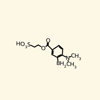 Bc1cc(C(=O)OCCS(=O)(=O)O)ccc1N(C)C